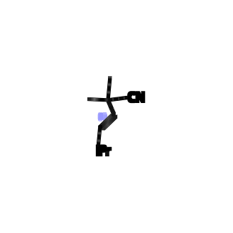 CC(C)/C=C/C(C)(C)C#N